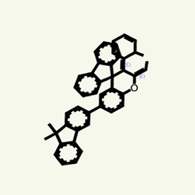 C/C=C1/Oc2ccc(-c3ccc4c(c3)-c3ccccc3C4(C)C)cc2C2(/C1=C1\C=CC=CC1C)c1ccccc1-c1ccccc12